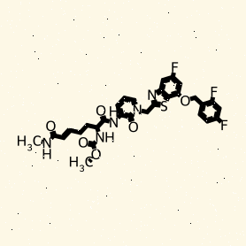 CNC(=O)C=CCCC(NC(=O)OC)C(=O)Nc1cccn(Cc2nc3cc(F)cc(OCc4ccc(F)cc4F)c3s2)c1=O